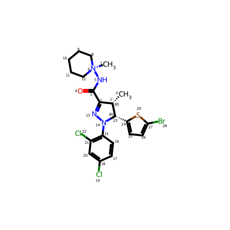 C[C@H]1C(C(=O)N[N+]2(C)CCCCC2)=NN(c2ccc(Cl)cc2Cl)[C@H]1c1ccc(Br)s1